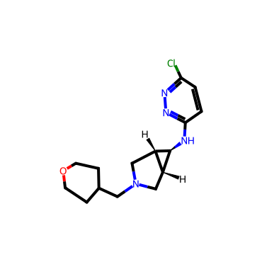 Clc1ccc(N[C@H]2[C@@H]3CN(CC4CCOCC4)C[C@@H]32)nn1